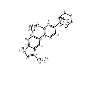 COc1nc(N2CC3CCC2CO3)ccc1-c1cc2c(C(=O)O)c[nH]c2cc1Cl